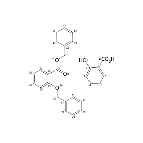 O=C(O)c1ccccc1O.O=C(OCc1ccccc1)c1ccccc1OCc1ccccc1